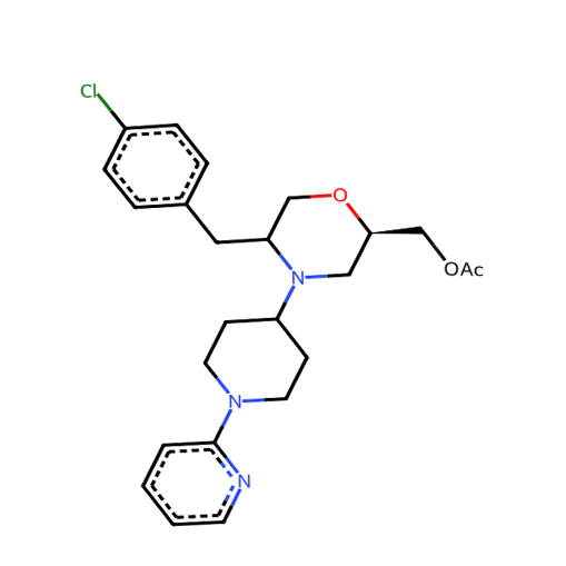 CC(=O)OC[C@H]1CN(C2CCN(c3ccccn3)CC2)C(Cc2ccc(Cl)cc2)CO1